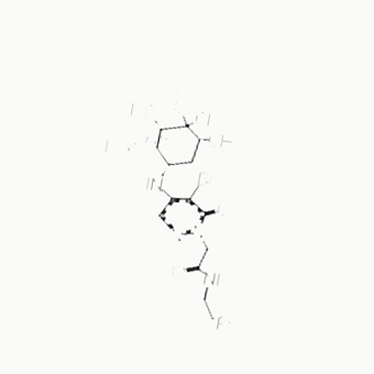 CC(C)CNC(=O)Cn1ncc(N[C@@H]2C[C@H](C)C(C)(C)[C@H](C)[C@H]2C)c(Br)c1=O